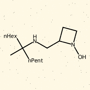 CCCCCCC(C)(CCCCC)NCC1CCN1O